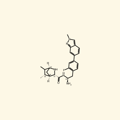 CC1[C@@H]2C[C@@H]([C@@H](C(=O)N[C@H](N)Cc3ccc(-c4ccc5cn(C)nc5c4)cc3F)N2)[C@@H]1C